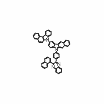 c1ccc2cc3c(cc2c1)c1cc(-n2c4ccccc4c4c5ccccc5ccc42)ccc1n3-c1ccc(-c2nc3ccccc3nc2-c2cccc3ccccc23)cc1